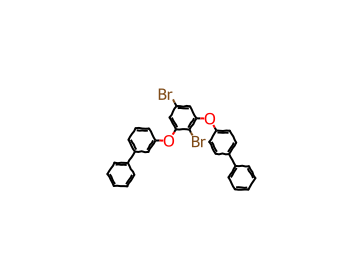 Brc1cc(Oc2ccc(-c3ccccc3)cc2)c(Br)c(Oc2cccc(-c3ccccc3)c2)c1